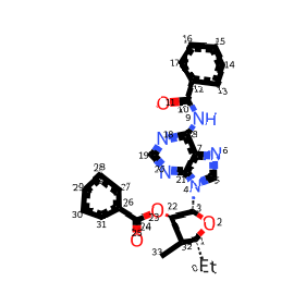 CC[C@H]1O[C@@H](n2cnc3c(NC(=O)c4ccccc4)ncnc32)[C@@H](OC(=O)c2ccccc2)C1C